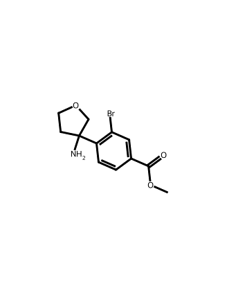 COC(=O)c1ccc(C2(N)CCOC2)c(Br)c1